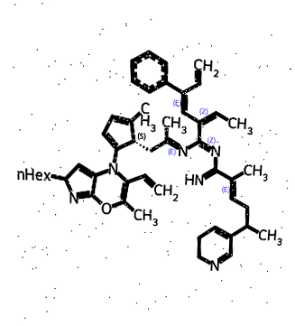 C=CC1=C(C)OC2=NC(CCCCCC)C=C2N1C1=CC=C(C)[C@@H]1C/C(C)=N/C(=N\C(=N)/C(C)=C/CC(C)C1=CCCN=C1)C(=C\C)/C=C(\C=C)c1ccccc1